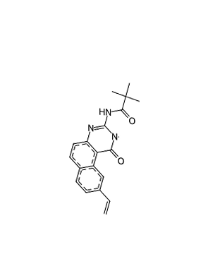 C=Cc1ccc2ccc3c(c2c1)C(=O)[N]C(NC(=O)C(C)(C)C)=N3